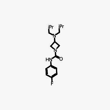 CC(C)CN(CC(C)C)C1CN(C(=O)Nc2ccc(F)cc2)C1